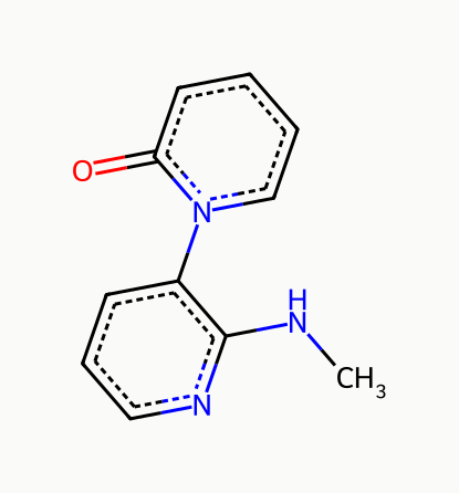 CNc1ncccc1-n1ccccc1=O